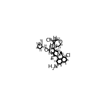 C#Cc1c(Cl)ccc2cc(N)cc(-c3ncc4c(N5CCOC[C@H]6[C@H](Cl)[C@H]65)nc(OC[C@@H]5CCCN5C)nc4c3F)c12